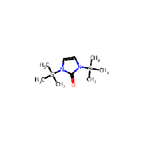 C[Si](C)(C)n1ccn([Si](C)(C)C)c1=O